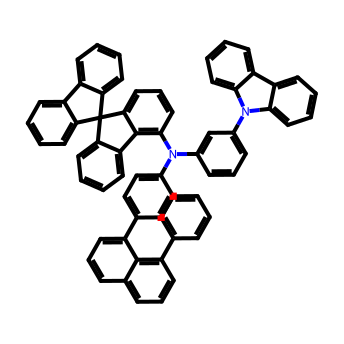 c1ccc(-c2cccc3cccc(-c4ccc(N(c5cccc(-n6c7ccccc7c7ccccc76)c5)c5cccc6c5-c5ccccc5C65c6ccccc6-c6ccccc65)cc4)c23)cc1